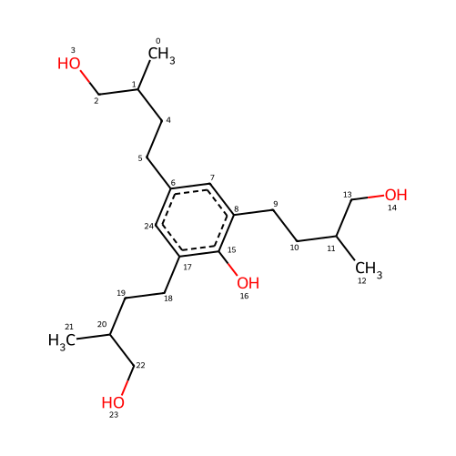 CC(CO)CCc1cc(CCC(C)CO)c(O)c(CCC(C)CO)c1